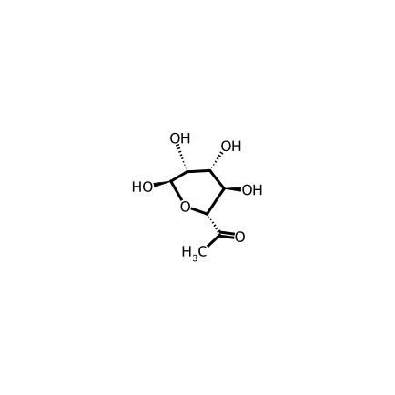 CC(=O)[C@@H]1O[C@@H](O)[C@H](O)[C@H](O)[C@H]1O